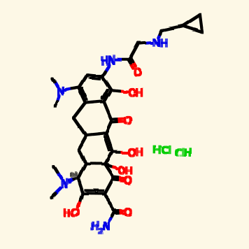 CN(C)c1cc(NC(=O)CNCC2CC2)c(O)c2c1CC1CC3[C@H](N(C)C)C(O)=C(C(N)=O)C(=O)C3(O)C(O)=C1C2=O.Cl.Cl